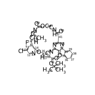 C[C@H]1CN2CC[C@]1(F)c1cc(Cl)cnc1O[C@H]1C[C@@H](C(=O)OC(C)(C)C)N(C1)c1nc(nc3c1oc1ccccc13)CC(=O)NCCOC2=O